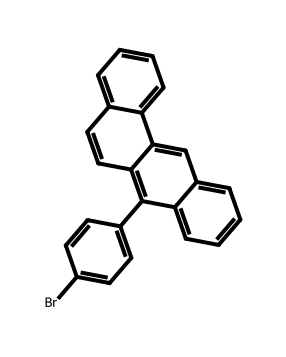 Brc1ccc(-c2c3ccccc3cc3c2ccc2ccccc23)cc1